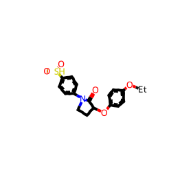 CCOc1ccc(OC2CCN(c3ccc([SH](=O)=O)cc3)C2=O)cc1